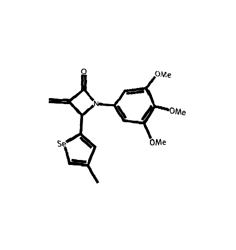 C=C1C(=O)N(c2cc(OC)c(OC)c(OC)c2)C1c1cc(C)c[se]1